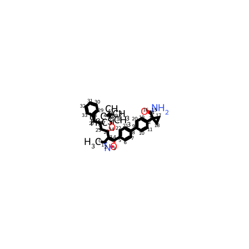 Cc1noc(-c2ccc(-c3ccc(C4(C(N)=O)CC4)cc3)cc2)c1C(CCCc1ccccc1)O[Si](C)(C)C(C)(C)C